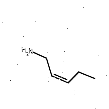 CC/C=C\CN